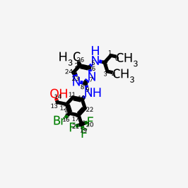 CCC(CC)Nc1nc(Nc2cc(CO)c(Br)c(C(F)(F)F)c2)ncc1C